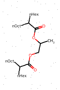 CCCCCCCCC(CCCCCC)C(=O)OCC(C)OC(=O)C(CCCCCC)CCCCCCCC